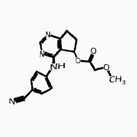 COCC(=O)OC1CCc2ncnc(Nc3ccc(C#N)cc3)c21